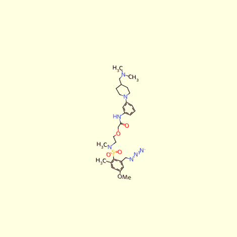 COc1cc(C)c(S(=O)(=O)N(C)CCOCC(=O)Nc2cccc(N3CCC(CN(C)C)CC3)c2)c(CN=[N+]=[N-])c1